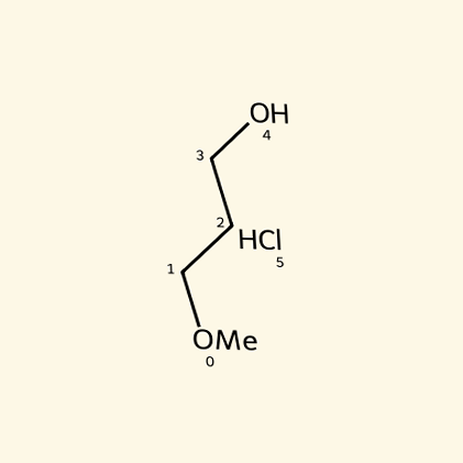 COCCCO.Cl